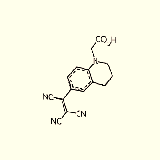 N#CC(C#N)=C(C#N)c1ccc2c(c1)CCCN2CC(=O)O